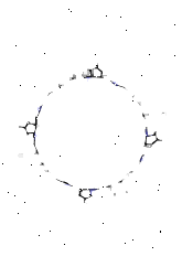 CCCCC[C@H]1C/C=C2/C(=O)C(Cl)=C[C@@H]2C/C=C\CCCC(=O)O[C@@H](CCCCC)C/C=C2/C(=O)C(Cl)=C[C@@H]2C/C=C\CCCC(=O)O[C@@H](CCCCC)C/C=C2/C(=O)C(Cl)=C[C@@H]2C/C=C\CCCC(=O)O[C@@H](CCCCC)C/C=C2/C(=O)C(Cl)=C[C@@H]2C/C=C\CCCC(=O)O1